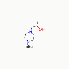 CCCCN1CCN(CC(C)O)CC1